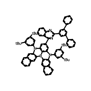 CC(C)(C)c1cc(N2c3cc4ccccc4cc3B3c4cc5ccccc5cc4N(c4cc(C(C)(C)C)cc(C(C)(C)C)c4)c4cc(-c5nc(-c6cc(-c7ccccc7)cc(-c7ccccc7)c6)nc6ccccc56)cc2c43)cc(C(C)(C)C)c1